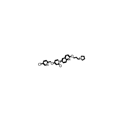 O=c1cc(OCc2ccc(Cl)cn2)ccn1-c1ccc2nc(OCCCN3CCCC3)ccc2c1